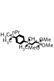 CCC[Si](C)(C)c1ccc([Si](C)(C)CC[Si](OC)(OC)OC)cc1